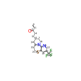 C=CC(=O)CCC1CCN2c3ncc(C(F)(F)F)cc3SCCC2C1